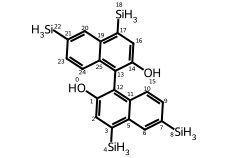 Oc1cc([SiH3])c2cc([SiH3])ccc2c1-c1c(O)cc([SiH3])c2cc([SiH3])ccc12